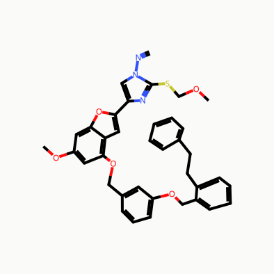 C=Nn1cc(-c2cc3c(OCc4cccc(OCc5ccccc5CCc5ccccc5)c4)cc(OC)cc3o2)nc1SCOC